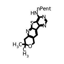 CCCCCNc1ncnc2c1sc1nc3c(cc12)COC(C)(C)C3